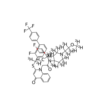 [2H]C([2H])([2H])OC([2H])([2H])C([2H])([2H])N1C([2H])([2H])C([2H])([2H])C([2H])(N(C(=O)Cn2c(SC([2H])([2H])c3cccc(F)c3F)cc(=O)c3ccccc32)C([2H])(C)c2ccc(-c3ccc(C(F)(F)F)cc3)cc2)C([2H])([2H])C1([2H])[2H]